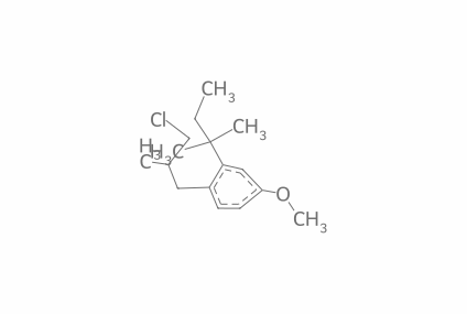 CCC(C)(C)c1cc(OC)ccc1CC(C)CCl